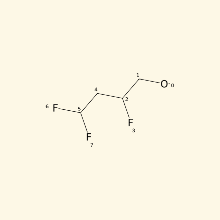 [O]CC(F)CC(F)F